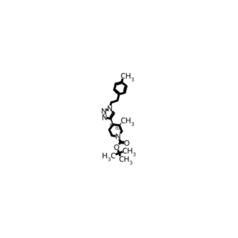 Cc1ccc(CCn2cc([C@@H]3CCN(C(=O)OC(C)(C)C)C[C@H]3C)nn2)cc1